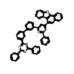 c1ccc(-c2nc(-c3cccc(-c4cccc(-c5nc(-c6ccccc6)nc(-c6ccccc6)n5)c4)c3)cc(-c3cc4ccccc4c4sc5ccccc5c34)n2)cc1